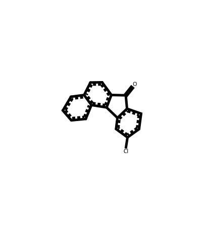 O=C1c2ccc(Cl)cc2-c2c1ccc1ccccc21